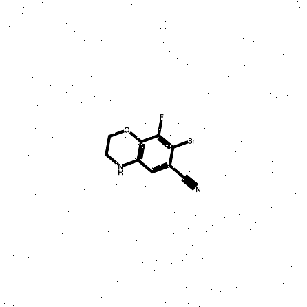 N#Cc1cc2c(c(F)c1Br)OCCN2